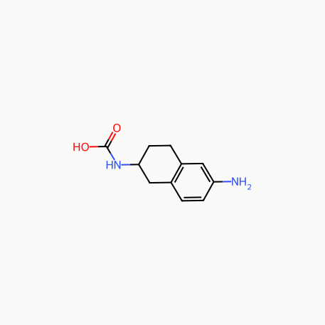 Nc1ccc2c(c1)CCC(NC(=O)O)C2